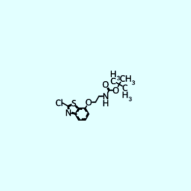 CC(C)(C)OC(=O)NCCOc1cccc2nc(Cl)sc12